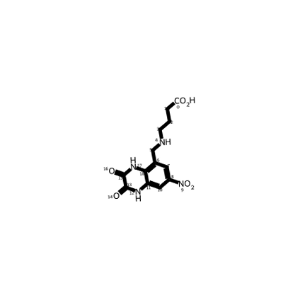 O=C(O)CCCNCc1cc([N+](=O)[O-])cc2[nH]c(=O)c(=O)[nH]c12